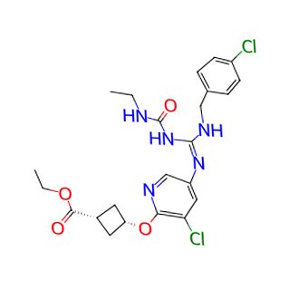 CCNC(=O)N/C(=N\c1cnc(O[C@H]2C[C@@H](C(=O)OCC)C2)c(Cl)c1)NCc1ccc(Cl)cc1